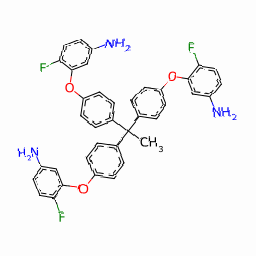 CC(c1ccc(Oc2cc(N)ccc2F)cc1)(c1ccc(Oc2cc(N)ccc2F)cc1)c1ccc(Oc2cc(N)ccc2F)cc1